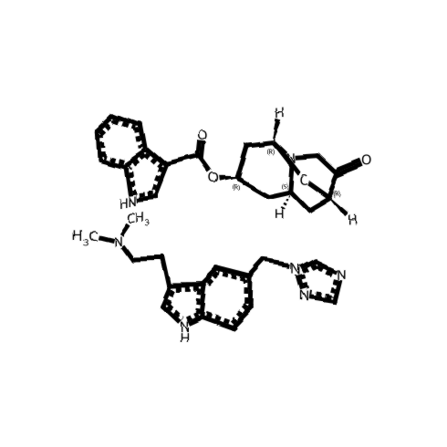 CN(C)CCc1c[nH]c2ccc(Cn3cncn3)cc12.O=C(O[C@@H]1C[C@@H]2C[C@@H]3C[C@H](C1)N2CC3=O)c1c[nH]c2ccccc12